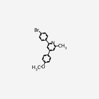 COc1ccc(-c2cc(C)nc(-c3ccc(Br)cc3)c2)cc1